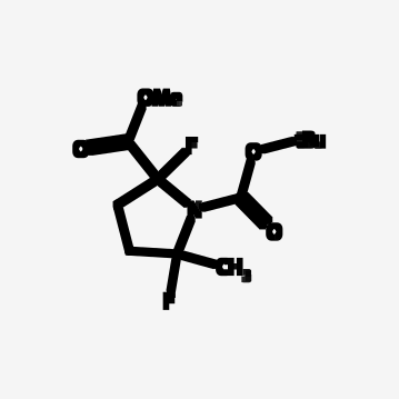 COC(=O)C1(F)CCC(C)(F)N1C(=O)OC(C)(C)C